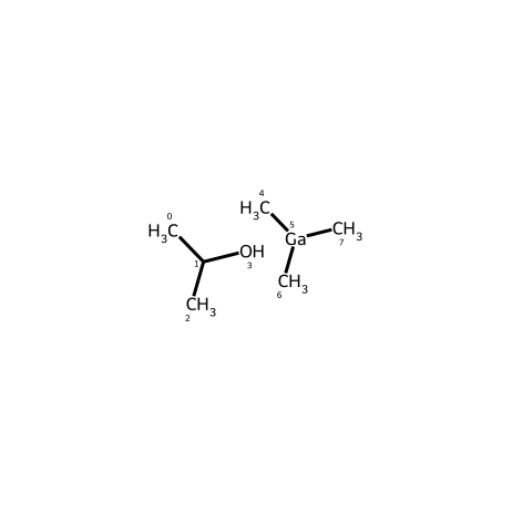 CC(C)O.[CH3][Ga]([CH3])[CH3]